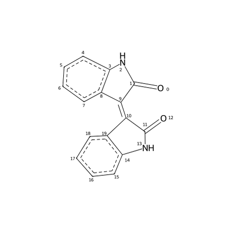 O=C1Nc2ccccc2/C1=C1/C(=O)Nc2ccccc21